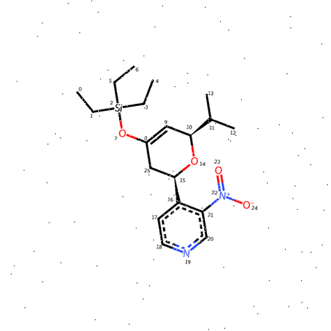 CC[Si](CC)(CC)OC1=C[C@@H](C(C)C)O[C@@H](c2ccncc2[N+](=O)[O-])C1